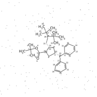 CC(C)(C)OC(=O)N1C[C@@H](P(c2ccccc2)c2ccccc2)C[C@H]1CP(C(C)(C)C)C(C)(C)C